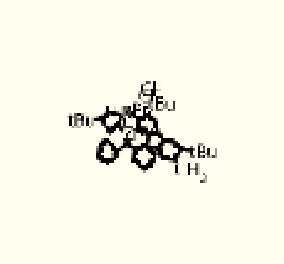 CCCC1C=C(C(C)(C)C)C=[C]1[Zr+2](=[C](c1ccccc1)c1ccccc1)[c]1c(C)c(C(C)(C)C)cc2c1Cc1cc(C)c(C(C)(C)C)cc1-2.[Cl-].[Cl-]